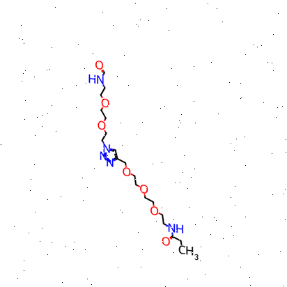 CCC(=O)NCCOCCOCCOCc1cn(CCOCCOCCNC=O)nn1